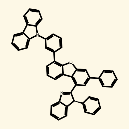 c1ccc(-c2cc(C3=Nc4ccccc4[C@@H]3c3ccccc3)c3c(c2)oc2c(-c4cccc(-n5c6ccccc6c6ccccc65)c4)cccc23)cc1